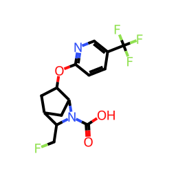 O=C(O)N1C(CF)C2CC(Oc3ccc(C(F)(F)F)cn3)C1C2